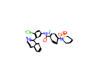 O=C(Nc1ccc(Cl)c(-c2nccc3ccccc23)c1)c1ccc(N2CCCCS2(=O)=O)cc1F